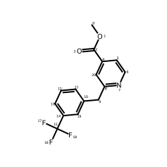 COC(=O)c1ccnc(Cc2cccc(C(F)(F)F)c2)c1